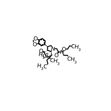 CCCON(CCC)C(=O)CN1C[C@H](c2ccc3c(c2)OCO3)[C@@H](C(=O)O)[C@@H]1CC(C)(C)CCC